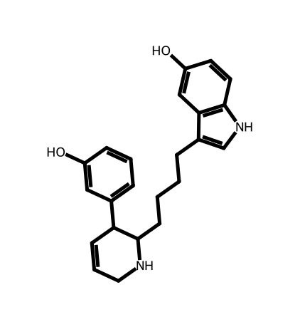 Oc1cccc(C2C=CCNC2CCCCc2c[nH]c3ccc(O)cc23)c1